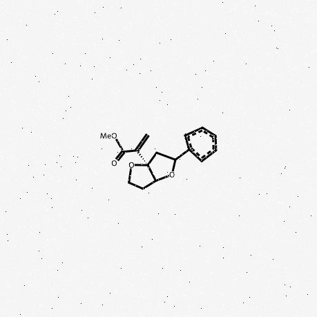 C=C(C(=O)OC)[C@]12CC(c3ccccc3)OC1CCO2